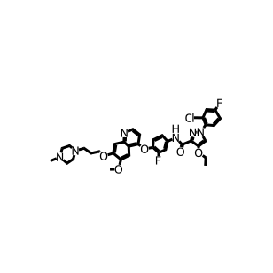 CCOc1cn(-c2ccc(F)cc2Cl)nc1C(=O)Nc1ccc(Oc2ccnc3cc(OCCCN4CCN(C)CC4)c(OC)cc23)c(F)c1